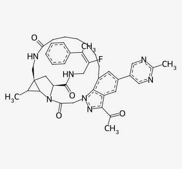 CC(=O)c1nn2c3c(cc(-c4cnc(C)nc4)cc13)CCCCCCC(=O)NC[C@@]13C[C@@H](C(=O)NC/C(F)=C(/C)c4ccccc4)N(C(=O)C2)C1C3C